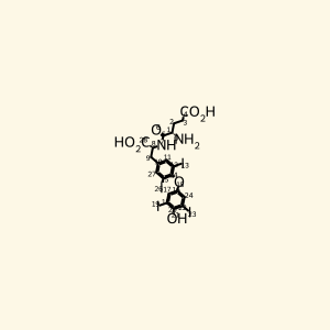 N[C@@H](CCC(=O)O)C(=O)N[C@@H](Cc1cc(I)c(Oc2cc(I)c(O)c(I)c2)c(I)c1)C(=O)O